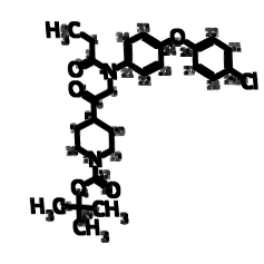 CCC(=O)N(CC(=O)C1CCN(C(=O)OC(C)(C)C)CC1)c1ccc(Oc2ccc(Cl)cc2)cc1